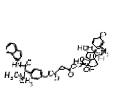 CN(C)[C@@H](C(=O)Nc1ccc2ccccc2c1)c1ccc(COC(=O)C2CC2C(=O)OCC(=O)[C@@]2(O)CC[C@H]3[C@@H]4CCC5=CC(=O)C=C[C@]5(C)[C@H]4[C@@H](O)C[C@@]32C)cc1